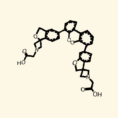 O=C(O)CN1CC2(COc3cc(-c4cccc(-c5cccc(-c6ccc7c(c6)COC76CN(CC(=O)O)C6)c5Cl)c4Cl)ccc32)C1